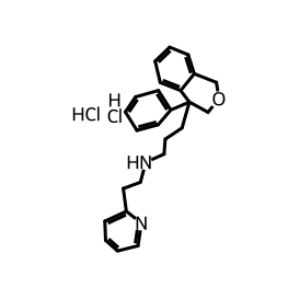 Cl.Cl.c1ccc(C2(CCCNCCc3ccccn3)COCc3ccccc32)cc1